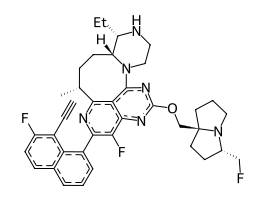 C#Cc1c(F)ccc2cccc(-c3nc4c5c(nc(OC[C@@]67CCCN6[C@H](CF)CC7)nc5c3F)N3CCN[C@@H](CC)[C@H]3CC[C@H]4C)c12